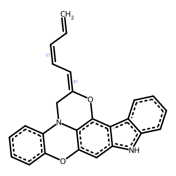 C=C/C=C\C=C1/CN2c3ccccc3Oc3cc4[nH]c5ccccc5c4c(c32)O1